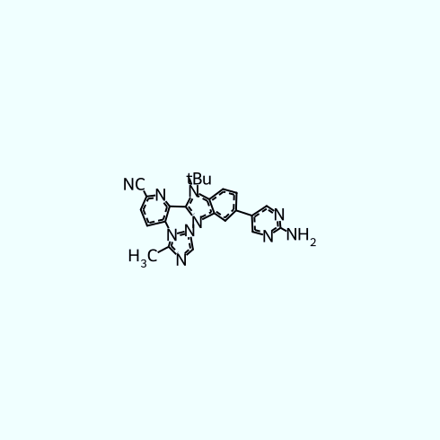 Cc1ncnn1-c1ccc(C#N)nc1-c1nc2cc(-c3cnc(N)nc3)ccc2n1C(C)(C)C